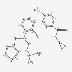 Cc1ccc(C(=O)NC2CC2)cc1-n1ccnc(N(CCN(C)C)Cc2ccccc2)c1=O